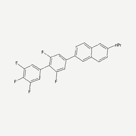 CCCc1ccc2cc(-c3cc(F)c(-c4cc(F)c(F)c(F)c4)c(F)c3)ccc2c1